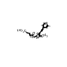 CCOC(=O)CCCC(=O)Nc1nc(C)c(C#Cc2ccncc2)s1